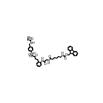 CC(C)(C)OC(=O)NCc1ccc(S(=O)(=O)NC(=O)CCc2ccccc2NC(=O)CNC(=O)CCCCCNC(=O)OCC2c3ccccc3-c3ccccc32)cc1